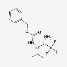 CC(C)[C@H](NC(=O)OCc1ccccc1)[C@H](N)C(F)(F)F